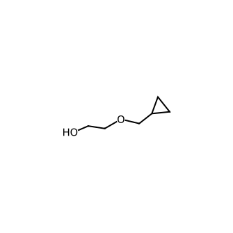 OCCOCC1CC1